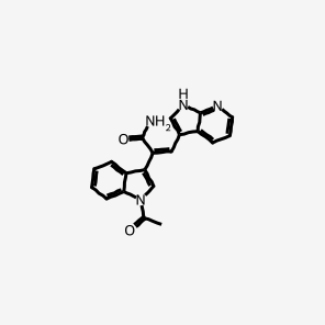 CC(=O)n1cc(C(=Cc2c[nH]c3ncccc23)C(N)=O)c2ccccc21